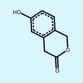 O=C1Cc2cc(O)ccc2CO1